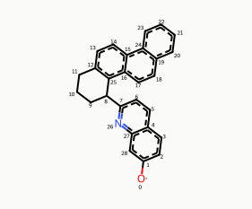 [O]c1ccc2ccc(C3CCCc4ccc5c(ccc6ccccc65)c43)nc2c1